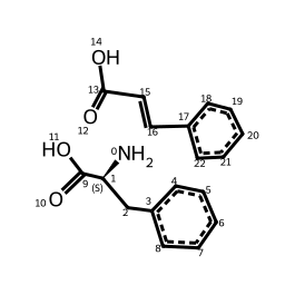 N[C@@H](Cc1ccccc1)C(=O)O.O=C(O)C=Cc1ccccc1